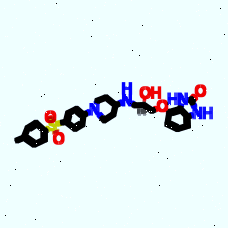 Cc1ccc(S(=O)(=O)c2ccc(N3CCC(NC[C@H](O)COc4cccc5[nH]c(=O)[nH]c45)CC3)cc2)cc1